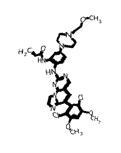 C=CC(=O)Nc1cc(N2CCN(CCOC)CC2)ccc1Nc1ncc2cc(-c3c(Cl)c(OC)cc(OC)c3Cl)c3nccn3c2n1